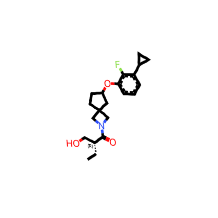 CC[C@H](CO)C(=O)N1CC2(CCC(Oc3cccc(C4CC4)c3F)C2)C1